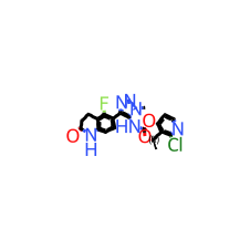 C[C@@H](OC(=O)Nc1c(-c2ccc3c(c2F)CCC(=O)N3)nnn1C)c1cccnc1Cl